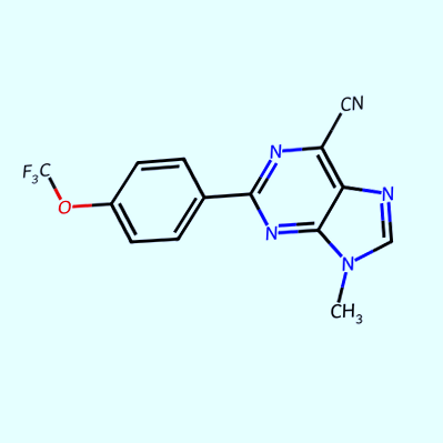 Cn1cnc2c(C#N)nc(-c3ccc(OC(F)(F)F)cc3)nc21